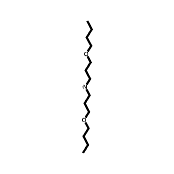 CCCCOCCC[N]CCCOCCCC